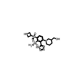 NS(=O)(=O)c1c(S(=O)(=O)C2CNC2)ccc(N2CCCC(CO)C2)c1-c1nnn[nH]1